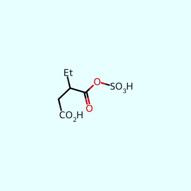 CCC(CC(=O)O)C(=O)OS(=O)(=O)O